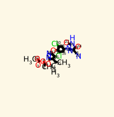 COC(=O)OC(C)Oc1nnc(Oc2c(Cl)cc(-n3nc(C#N)c(=O)[nH]c3=O)cc2Cl)cc1C(C)C